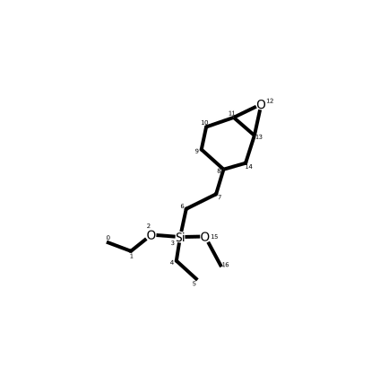 CCO[Si](CC)(CCC1CCC2OC2C1)OC